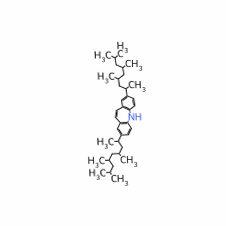 CC(C)CC(C)CC(C)CC(C)c1ccc2c(c1)C=Cc1cc(C(C)CC(C)CC(C)CC(C)C)ccc1N2